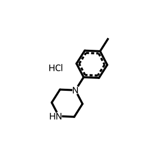 Cc1ccc(N2CCNCC2)cc1.Cl